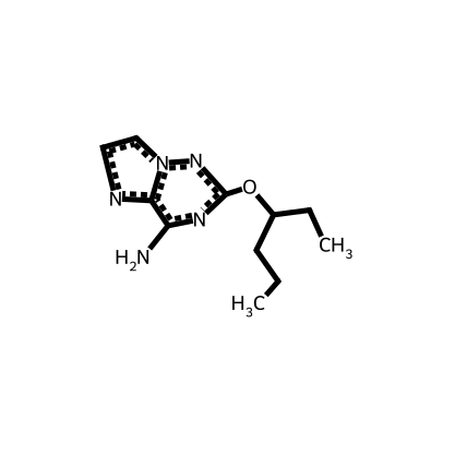 CCCC(CC)Oc1nc(N)c2nccn2n1